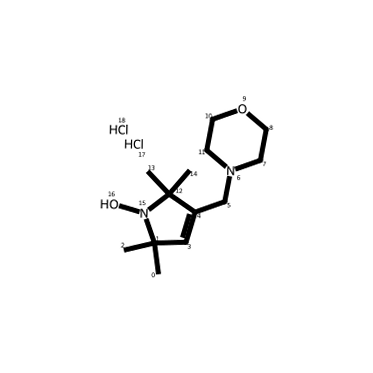 CC1(C)C=C(CN2CCOCC2)C(C)(C)N1O.Cl.Cl